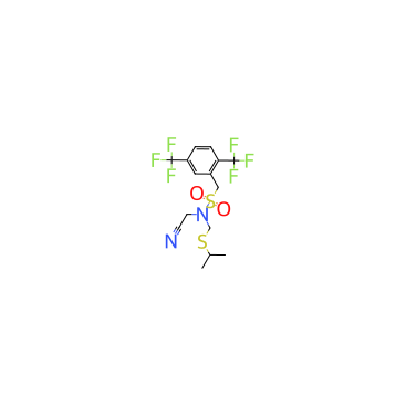 CC(C)SCN(CC#N)S(=O)(=O)Cc1cc(C(F)(F)F)ccc1C(F)(F)F